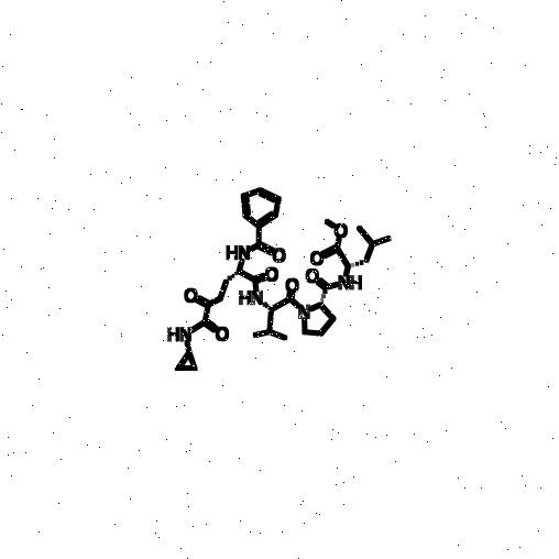 COC(=O)[C@H](CC(C)C)NC(=O)[C@@H]1CCCN1C(=O)[C@@H](NC(=O)[C@H](CCC(=O)C(=O)NC1CC1)NC(=O)c1ccccc1)C(C)C